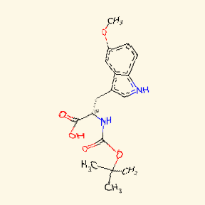 COc1ccc2[nH]cc(C[C@H](NC(=O)OC(C)(C)C)C(=O)O)c2c1